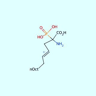 CCCCCCCCC/C=C/CC(N)(C(=O)O)P(=O)(O)O